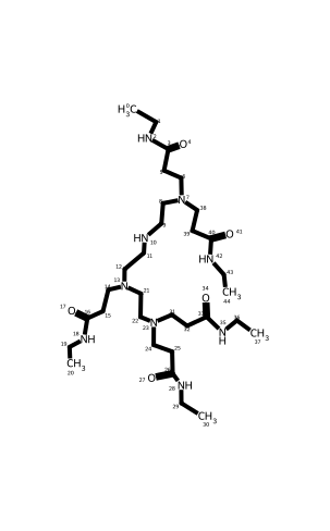 CCNC(=O)CCN(CCNCCN(CCC(=O)NCC)CCN(CCC(=O)NCC)CCC(=O)NCC)CCC(=O)NCC